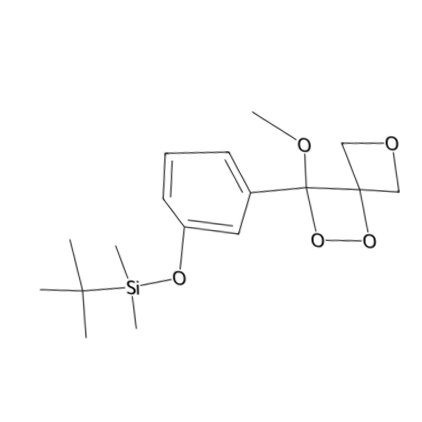 COC1(c2cccc(O[Si](C)(C)C(C)(C)C)c2)OOC12COC2